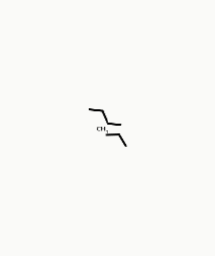 C.CCC.CCCC